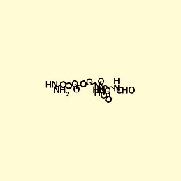 N=C(N)c1ccc2cc(OC(=O)c3ccc(OCCNC(=O)C(CCCCNC=O)NC(=O)OCc4ccccc4)cc3)ccc2c1